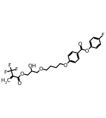 C=C(C(=O)OCC(O)COCCCCOc1ccc(C(=O)Oc2ccc(F)cc2)cc1)C(F)(F)F